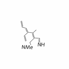 C=C/C=C(C=C)/C(C)=C(/C=N)CNC